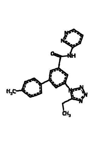 CCc1nnnn1-c1cc(C(=O)Nc2cccnn2)cc(-c2ccc(C)cc2)c1